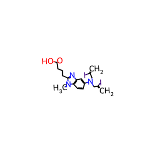 C=C(I)CN(CC(=C)I)c1ccc2c(c1)nc(CCCC(=O)O)n2C